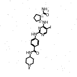 CN1CCC(NC(=O)c2ccc(Nc3ncc(I)c(N[C@@H]4CCC[C@@H]4C(N)=O)n3)cc2)CC1